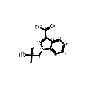 CCC(=O)c1nn(CC(C)(C)O)c2ccccc12